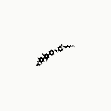 CCCCC[Si@H]1CC[C@H](CC[C@H]2CC[C@H](c3cc(F)c(-c4cc(F)c(OC(F)F)c(F)c4)c(F)c3)CC2)CC1